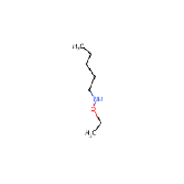 CCCCCNOCC